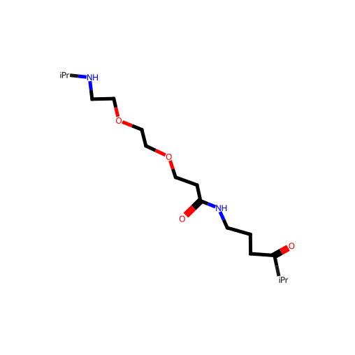 CC(C)NCCOCCOCCC(=O)NCCCC(=O)C(C)C